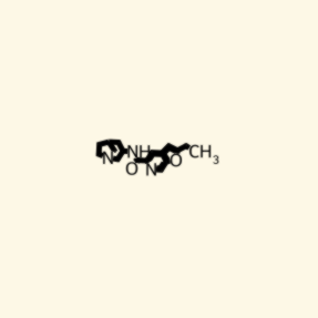 CCc1cc2cc(C(=O)NC3CC4CCN(C4)C3)ncc2o1